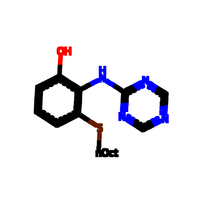 CCCCCCCCSc1cccc(O)c1Nc1ncncn1